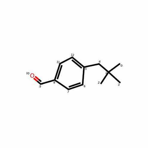 CC(C)(C)Cc1ccc([C]=O)cc1